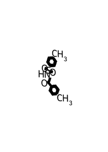 Cc1ccc(C(=O)CNS(=O)(=O)c2ccc(C)cc2)cc1